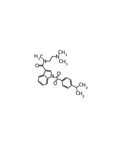 CC(C)c1ccc(S(=O)(=O)n2cc(C(=O)N(C)CCN(C)C)c3ccccc32)cc1